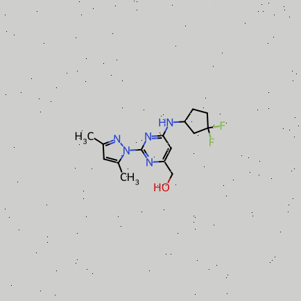 Cc1cc(C)n(-c2nc(CO)cc(NC3CCC(F)(F)C3)n2)n1